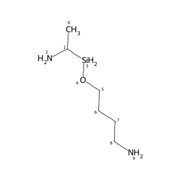 CC(N)[SiH2]OCCCCN